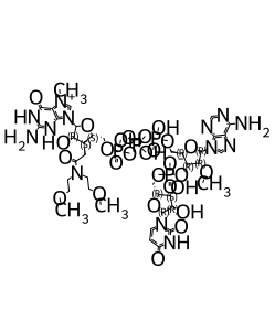 COCCN(CCOC)C(=O)C[C@@H]1[C@@H](COP(=O)(O)OP(=O)(O)OP(=O)(O)OC[C@H]2O[C@@H](n3cnc4c(N)ncnc43)[C@H](OC)[C@@H]2OP(=O)([O-])OC[C@H]2O[C@@H](n3ccc(=O)[nH]c3=O)[C@H](O)[C@@H]2O)OC(n2c[n+](C)c3c(=O)[nH]c(N)nc32)[C@@H]1O